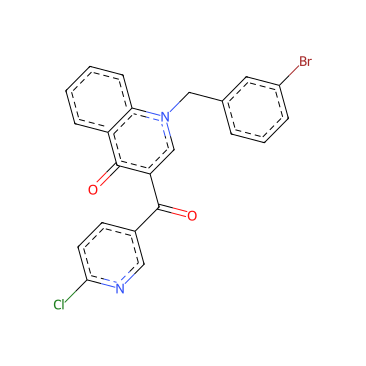 O=C(c1ccc(Cl)nc1)c1cn(Cc2cccc(Br)c2)c2ccccc2c1=O